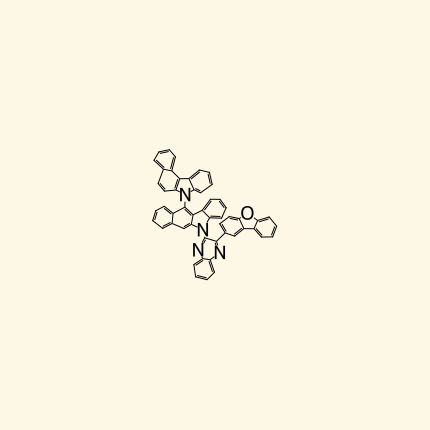 c1ccc2c(-n3c4ccccc4c4c5ccccc5ccc43)c3c4ccccc4n(-c4nc5ccccc5nc4-c4ccc5oc6ccccc6c5c4)c3cc2c1